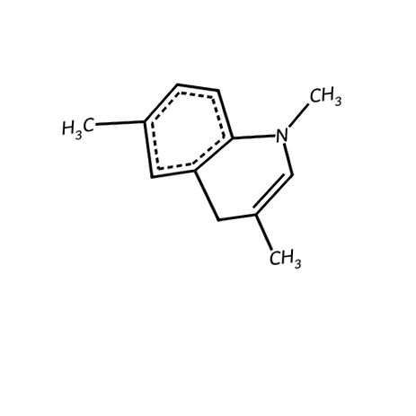 CC1=CN(C)c2ccc(C)cc2C1